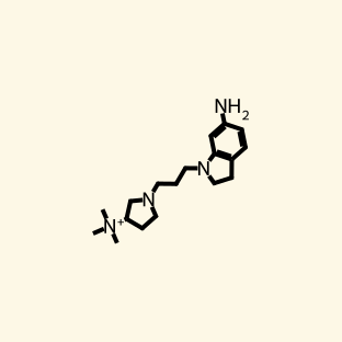 C[N+](C)(C)C1CCN(CCCN2CCc3ccc(N)cc32)C1